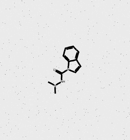 CN(C)NC(=O)n1c[c]c2ccccc21